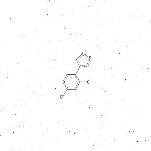 Clc1ccc(-c2c[c]sc2)c(Cl)c1